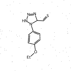 CCOc1ccc(N2NN=NC2C=S)cc1